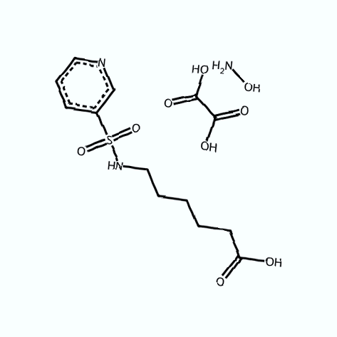 NO.O=C(O)C(=O)O.O=C(O)CCCCCNS(=O)(=O)c1cccnc1